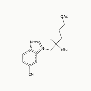 CCCCC(C)(CCCOC(C)=O)Cn1cnc2ccc(C#N)cc21